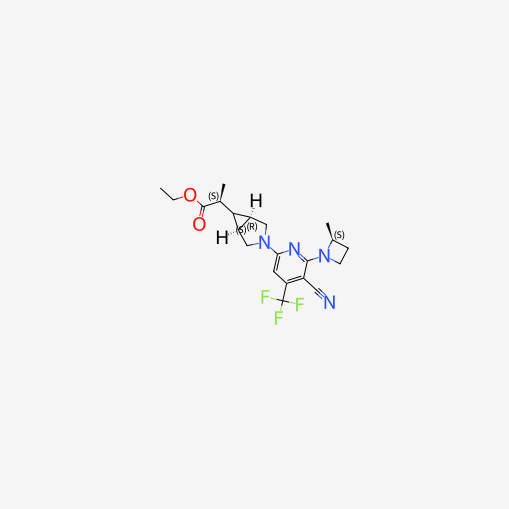 CCOC(=O)[C@@H](C)C1[C@H]2CN(c3cc(C(F)(F)F)c(C#N)c(N4CC[C@@H]4C)n3)C[C@@H]12